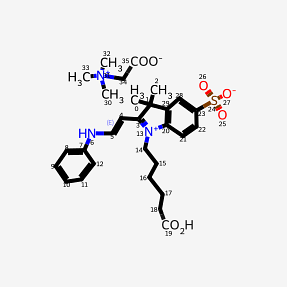 CC1(C)C(/C=C/Nc2ccccc2)=[N+](CCCCCC(=O)O)c2ccc(S(=O)(=O)[O-])cc21.C[N+](C)(C)CC(=O)[O-]